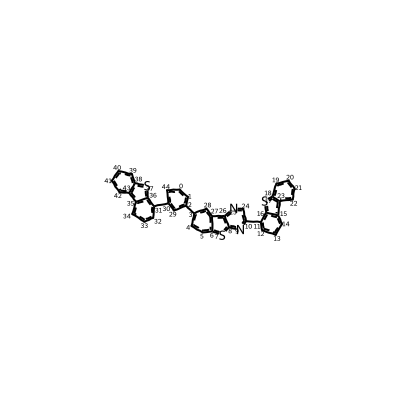 c1cc(-c2ccc3sc4nc(-c5cccc6c5sc5ccccc56)cnc4c3c2)cc(-c2cccc3c2sc2ccccc23)c1